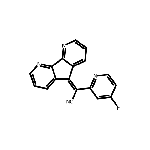 N#CC(=C1c2cccnc2-c2ncccc21)c1cc(F)ccn1